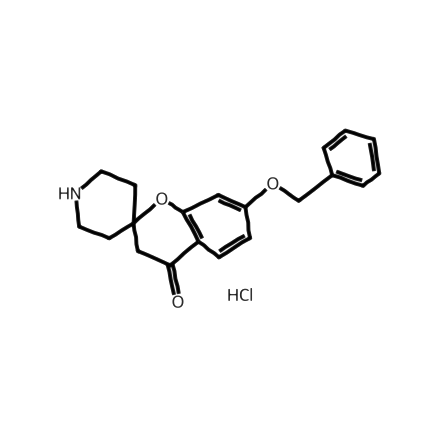 Cl.O=C1CC2(CCNCC2)Oc2cc(OCc3ccccc3)ccc21